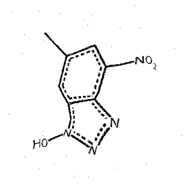 Cc1cc([N+](=O)[O-])c2nnn(O)c2c1